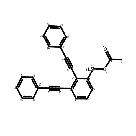 CC(=O)O[SiH2]c1cccc(C#Cc2ccccc2)c1C#Cc1ccccc1